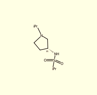 CC(C)N1CC[C@@H](NS(=O)(=O)C(C)C)C1